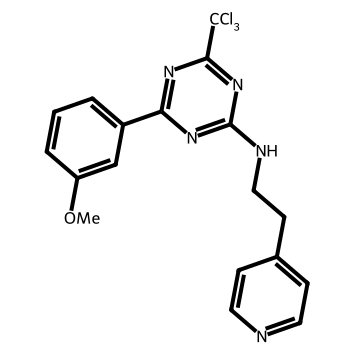 COc1cccc(-c2nc(NCCc3ccncc3)nc(C(Cl)(Cl)Cl)n2)c1